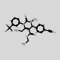 CCOC(=O)C1=C(CC)N(c2cccc(C(F)(F)F)c2)C(=O)N(C)C1c1ccc(C#N)cc1